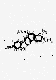 COc1cc2c(c3c1C=C(c1ccc(N=O)cc1O)CO3)C=CC(C)(C)O2